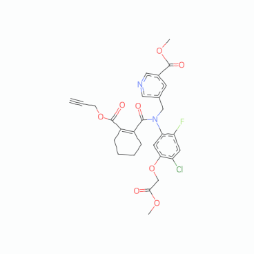 C#CCOC(=O)C1=C(C(=O)N(Cc2cncc(C(=O)OC)c2)c2cc(OCC(=O)OC)c(Cl)cc2F)CCCC1